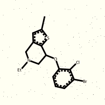 CCN1Cc2cc(C)sc2C(Oc2cccc(Br)c2Cl)C1